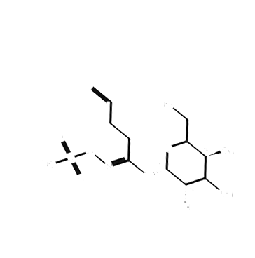 C=CCC/C(=N\OS(=O)(=O)O)S[C@@H]1OC(CO)[C@@H](O)C(O)[C@@H]1O